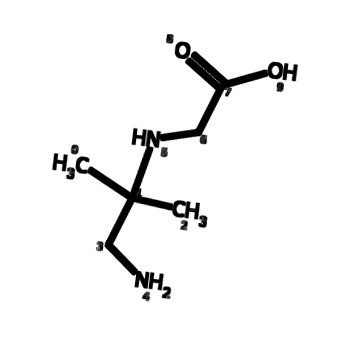 CC(C)(CN)NCC(=O)O